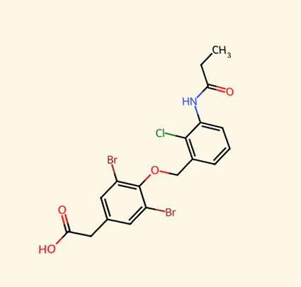 CCC(=O)Nc1cccc(COc2c(Br)cc(CC(=O)O)cc2Br)c1Cl